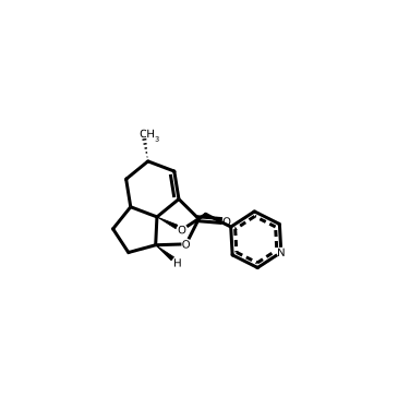 C[C@@H]1C=C2C(=O)O[C@@H]3CCC(C1)[C@]23OCc1ccncc1